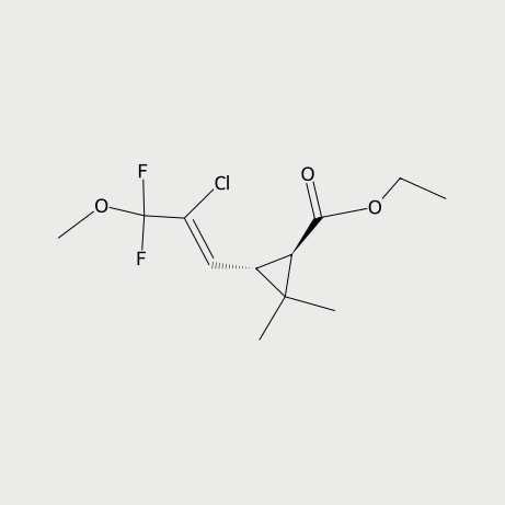 CCOC(=O)[C@@H]1[C@@H](C=C(Cl)C(F)(F)OC)C1(C)C